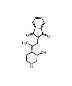 C/C(CN1C(=O)c2ccccc2C1=O)=C1\CCNCC1O